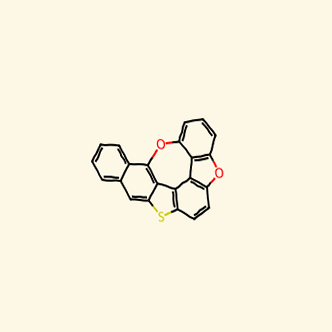 c1ccc2c(c1)cc1sc3ccc4oc5cccc6oc2c1c3c4c56